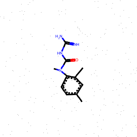 Cc1ccc(N(C)C(=O)NC(=N)N)c(C)c1